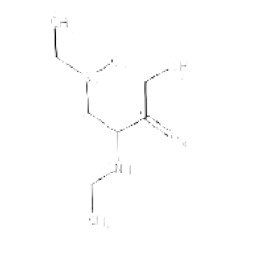 CCNC(C[S+]([O-])CC)C(=O)CC